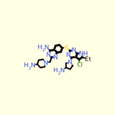 CCc1[nH]c2nc(Sc3ccc4c(N)nc(CN5CCC(N)CC5)nc4c3)nc(N3CCC(N)C3)c2c1Cl